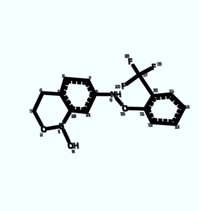 OB1OCCc2ccc(NOc3ccccc3C(F)(F)F)cc21